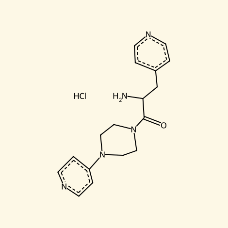 Cl.NC(Cc1ccncc1)C(=O)N1CCN(c2ccncc2)CC1